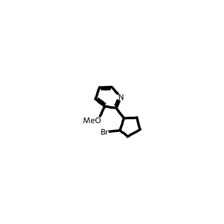 COc1cccnc1C1CCCC1Br